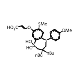 CCCCC1(CCCC)CN(c2ccc(OC)cc2)c2cc(SC)c(OC=CC(=O)O)cc2S(O)(O)C1